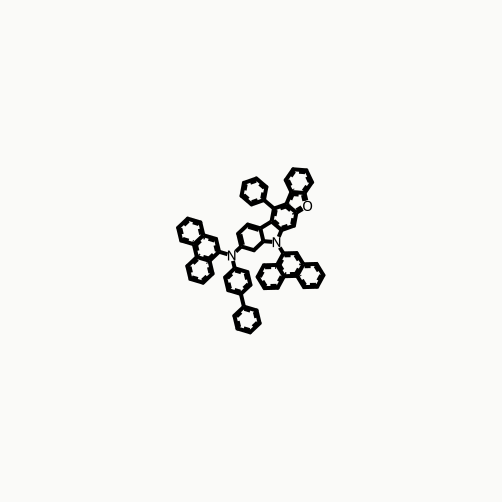 C1=C2c3c(cc4oc5ccccc5c4c3-c3ccccc3)N(c3cc4ccccc4c4ccccc34)C2CC(N(c2ccc(-c3ccccc3)cc2)c2cc3ccccc3c3ccccc23)=C1